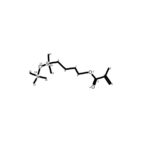 C=C(C)C(=O)OCCCC[Si](C)(C)O[Si](C)(C)C